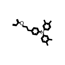 C=CC(=C)OCCCc1ccc(N(c2ccc(C)c(C)c2)c2ccc(C)c(C)c2)cc1